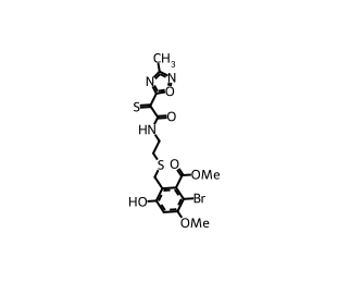 COC(=O)c1c(Br)c(OC)cc(O)c1CSCCNC(=O)C(=S)c1nc(C)no1